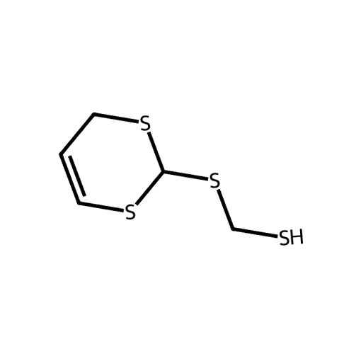 SCSC1SC=CCS1